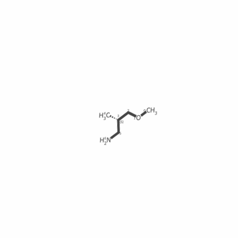 COC[C@@H](C)CN